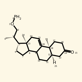 C[C@H](COP)[C@H]1CCC2C3CC[C@@H]4CC(=O)CC[C@]4(C)C3=CC[C@@]21C